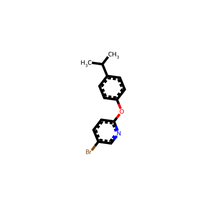 CC(C)c1ccc(Oc2ccc(Br)cn2)cc1